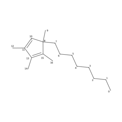 CCCCCCCCC1(C)[C]=C(C)C(C)=C1C